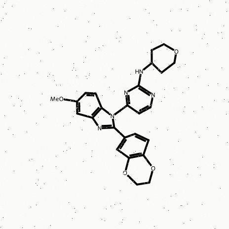 COc1ccc2c(c1)nc(-c1ccc3c(c1)OCCO3)n2-c1ccnc(NC2CCOCC2)n1